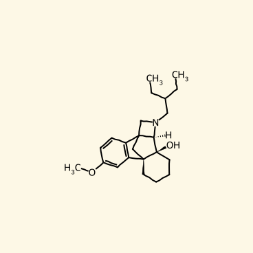 CCC(CC)CN1CC23C[C@@]4(CCCC[C@@]4(O)[C@H]12)c1cc(OC)ccc13